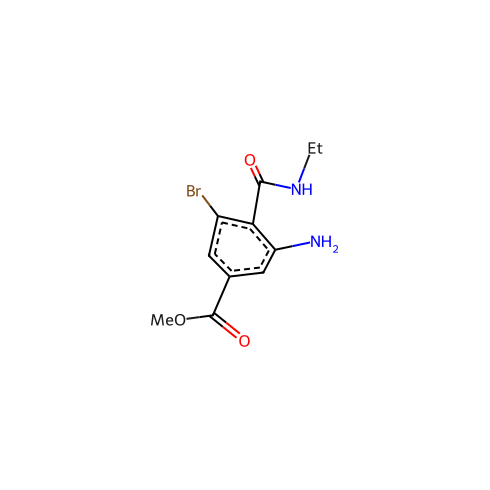 CCNC(=O)c1c(N)cc(C(=O)OC)cc1Br